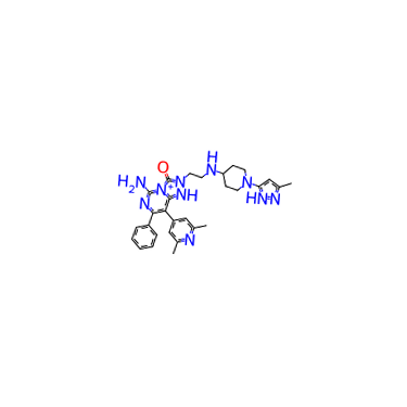 Cc1cc(N2CCC(NCCn3[nH]c4c(-c5cc(C)nc(C)c5)c(-c5ccccc5)nc(N)[n+]4c3=O)CC2)[nH]n1